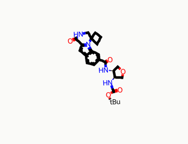 CC(C)(C)OC(=O)N[C@H]1COC[C@H]1NC(=O)c1ccc2cc3n(c2c1)C1(CCC1)CNC3=O